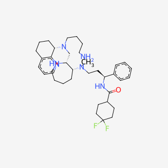 CN(CC[C@H](NC(=O)C1CCC(F)(F)CC1)c1ccccc1)[C@@H]1CCCCN[C@@H]1CN(CCCCN)[C@H]1CCCc2cccnc21